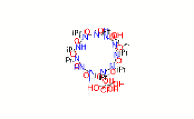 C/C=C/C[C@@H](C)[C@@H](O)[C@H]1C(=O)N[C@@H](CC)C(=O)N(C)CC(=O)N(C)[C@@H](CC(C)C)C(=O)N[C@@H](C(C)C)C(=O)N(C)[C@@H](CC(C)C)C(=O)N[C@@H](C)C(=O)N[C@H](C)C(=O)N(C)[C@@H](CC(C)C)C(=O)N(C)[C@@H](CC(C)C)C(=O)N(C)[C@@H](C(C)C)C(=O)N1C.OC[C@@H](O)[C@H](O)[C@@H](O)CO